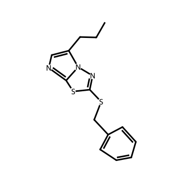 CCCc1cnc2sc(SCc3ccccc3)nn12